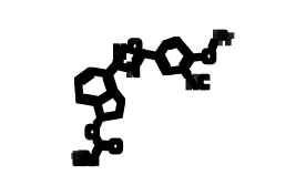 [C-]#[N+]c1cc(-c2nc(-c3cccc4c3CC[C@H]4OC(=O)C(C)(C)C)no2)ccc1OC(C)C